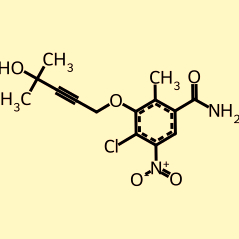 Cc1c(C(N)=O)cc([N+](=O)[O-])c(Cl)c1OCC#CC(C)(C)O